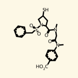 CN(CC(=O)N(C)c1ccc(C(=O)O)cc1)C(=O)C1CC(S)CN1S(=O)(=O)Cc1ccccc1